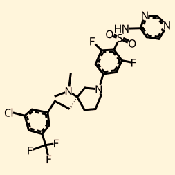 CN(C)[C@]1(CCc2cc(Cl)cc(C(F)(F)F)c2)CCCN(c2cc(F)c(S(=O)(=O)Nc3ccncn3)c(F)c2)C1